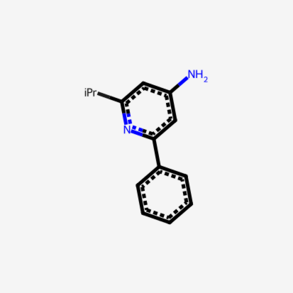 CC(C)c1cc(N)cc(-c2ccccc2)n1